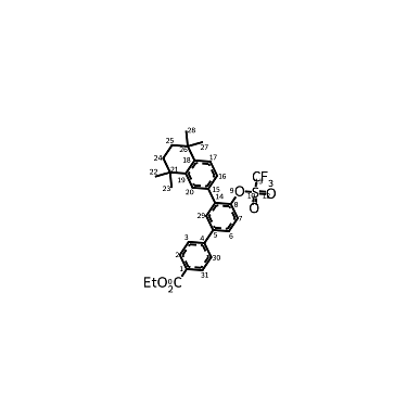 CCOC(=O)c1ccc(-c2ccc(OS(=O)(=O)C(F)(F)F)c(-c3ccc4c(c3)C(C)(C)CCC4(C)C)c2)cc1